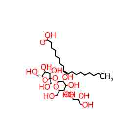 CCCCCCCC/C=C\CCCCCCCC(=O)O.OCC(O)CO.OC[C@H]1O[C@@](CO)(O[C@H]2O[C@H](CO)[C@@H](O)[C@H](O)[C@H]2O)[C@@H](O)[C@@H]1O